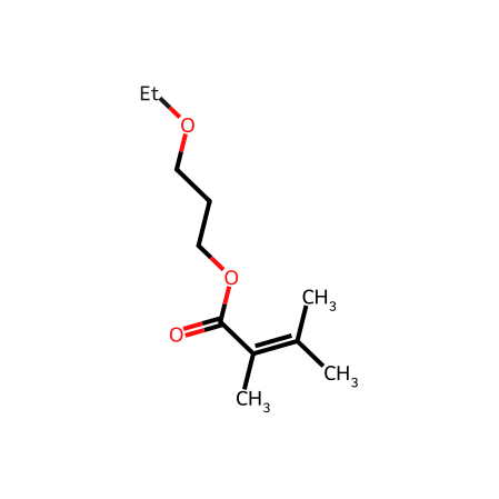 CCOCCCOC(=O)C(C)=C(C)C